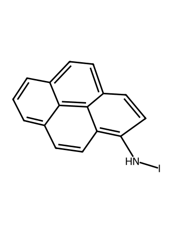 INc1ccc2ccc3cccc4ccc1c2c34